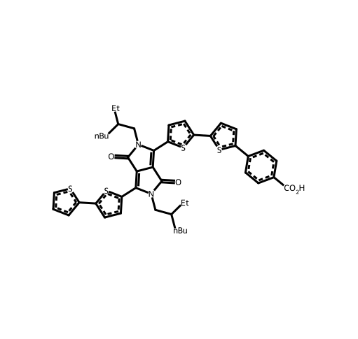 CCCCC(CC)CN1C(=O)C2=C(c3ccc(-c4ccc(-c5ccc(C(=O)O)cc5)s4)s3)N(CC(CC)CCCC)C(=O)C2=C1c1ccc(-c2cccs2)s1